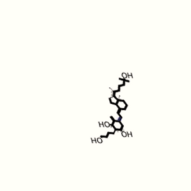 C=C1/C(=C\C=C2CCC[C@@]3(C)C2CC[C@@H]3[C@H](C)CCCC(C)(C)O)C[C@@H](O)[C@@H](CCCCO)[C@H]1O